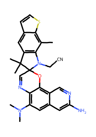 Cc1c2c(cc3ccsc13)C(C)(C)C1(C=Nc3c(N(C)C)cc4cc(N)ncc4c3O1)N2CC#N